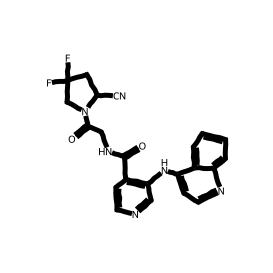 N#CC1CC(F)(F)CN1C(=O)CNC(=O)c1ccncc1Nc1ccnc2ccccc12